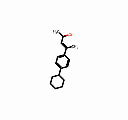 CC(=CC(C)O)c1ccc(C2CCCCC2)cc1